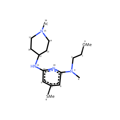 COCCN(C)c1cc(SC)cc(NC2CCN(C(C)=O)CC2)n1